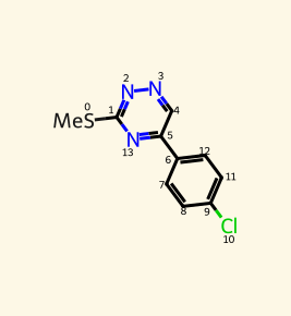 CSc1nncc(-c2ccc(Cl)cc2)n1